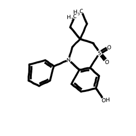 CCC1(CC)CN(c2ccccc2)c2ccc(O)cc2S(=O)(=O)C1